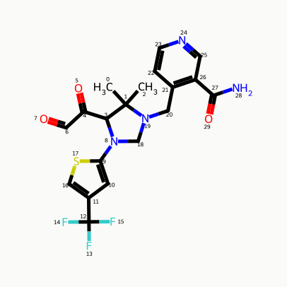 CC1(C)C(C(=O)C=O)N(c2cc(C(F)(F)F)cs2)CN1Cc1ccncc1C(N)=O